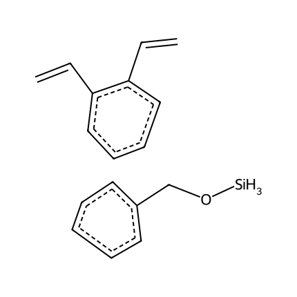 C=Cc1ccccc1C=C.[SiH3]OCc1ccccc1